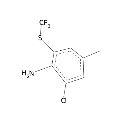 Cc1cc(Cl)c(N)c(SC(F)(F)F)c1